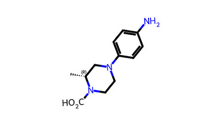 C[C@@H]1CN(c2ccc(N)cc2)CCN1C(=O)O